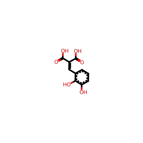 O=C(O)C(=Cc1cccc(O)c1O)C(=O)O